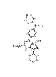 CCOC(=O)c1cc(-c2ccc(N(C)C3CCOCC3)cc2)c2c(C(C)C)nn(C3CCCCC3)c2n1